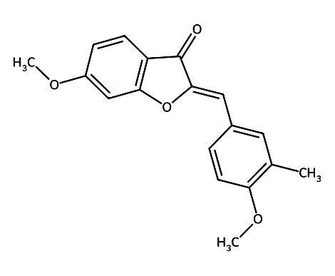 COc1ccc2c(c1)OC(=Cc1ccc(OC)c(C)c1)C2=O